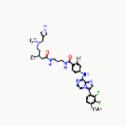 CCc1cc(Nc2nccn3c(-c4ccc(OC)c(F)c4F)cnc23)ccc1C(=O)NCCCNC(=O)CC(CC)CCN(C)CC1CNC1